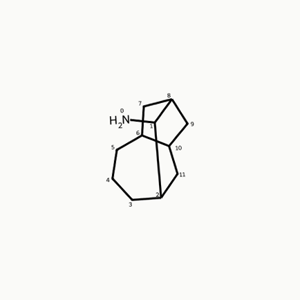 NC1C2CCCC3CC1CC3C2